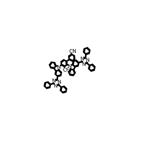 N#Cc1cccc(-c2ccc(-n3c4ccccc4c4cc(-c5nc(-c6ccccc6)nc(-c6ccccc6)n5)ccc43)c(C(F)(F)F)c2-n2c3ccccc3c3cc(-c4nc(-c5ccccc5)nc(-c5ccccc5)n4)ccc32)c1